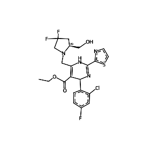 CCOC(=O)C1=C(CN2CC(F)(F)C[C@H]2CO)NC(c2nccs2)=NC1c1ccc(F)cc1Cl